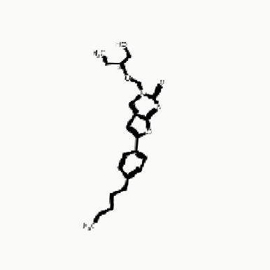 CCCCCc1ccc(-c2cc3cn(CO[C@@H](CC)CO)c(=O)nc3o2)cc1